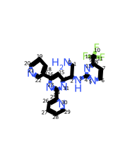 NCC(Nc1nccc(C(F)(F)F)n1)c1cc(-c2cccnc2)nc(-c2ccccn2)n1